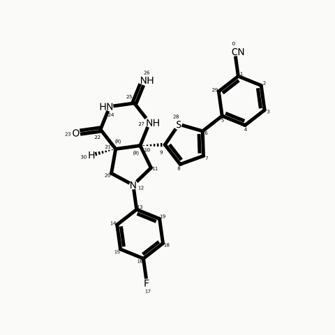 N#Cc1cccc(-c2ccc([C@]34CN(c5ccc(F)cc5)C[C@H]3C(=O)NC(=N)N4)s2)c1